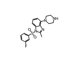 Cc1nc2c(N3CCNCC3)cccc2n1S(=O)(=O)c1cccc(F)c1